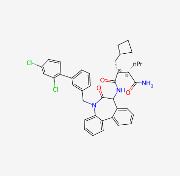 CCC[C@H](C(N)=O)[C@@H](CC1CCC1)C(=O)NC1C(=O)N(Cc2cccc(-c3ccc(Cl)cc3Cl)c2)c2ccccc2-c2ccccc21